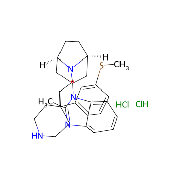 CSc1cccc(C2(CCN3[C@@H]4CC[C@H]3CC(n3c(C)nc5ccccc53)C4)CCNCC2)c1.Cl.Cl